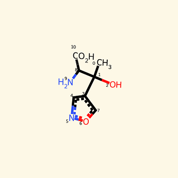 CC(O)(c1cnoc1)C(N)C(=O)O